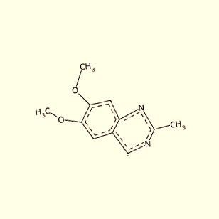 COc1cc2[c]nc(C)nc2cc1OC